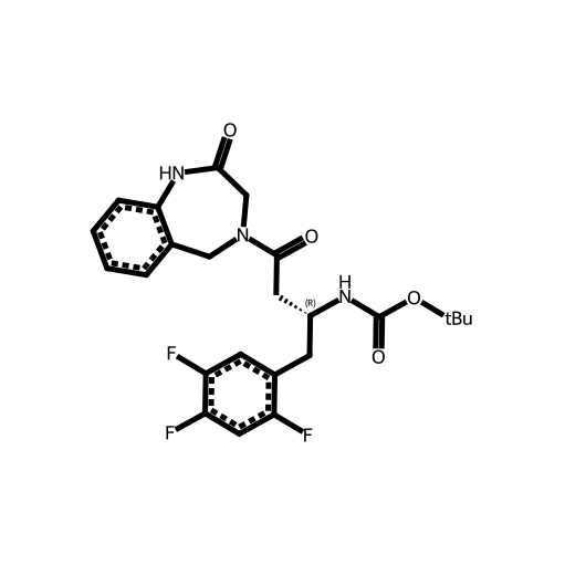 CC(C)(C)OC(=O)N[C@@H](CC(=O)N1CC(=O)Nc2ccccc2C1)Cc1cc(F)c(F)cc1F